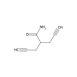 C#CCC(CC#C)C(N)=O